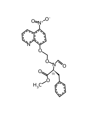 COC(=O)[C@H](Cc1ccccc1)N(C=O)OCOc1ccc([N+](=O)[O-])c2cccnc12